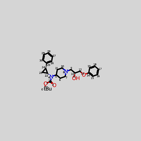 CC(C)(C)OC(=O)N(C1CCN(C[C@H](O)COc2ccccc2)CC1)[C@@H]1C[C@H]1c1ccccc1